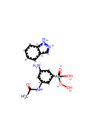 CC(=O)Nc1cc(N)cc([As](=O)(O)OO)c1.c1ccc2[nH]ncc2c1